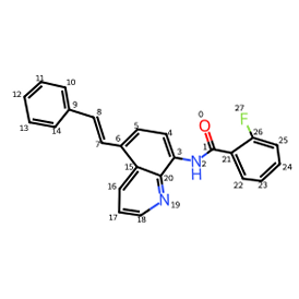 O=C(Nc1ccc(C=Cc2ccccc2)c2cccnc12)c1ccccc1F